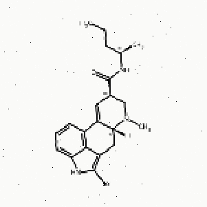 CCC[C@@H](C)NC(=O)[C@@H]1C=C2c3cccc4[nH]c(Br)c(c34)C[C@H]2N(C)C1